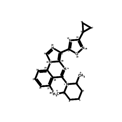 CC1CCCC(C)N1c1nc2c(-c3nc(C4CC4)no3)ncn2c2cccc(F)c12